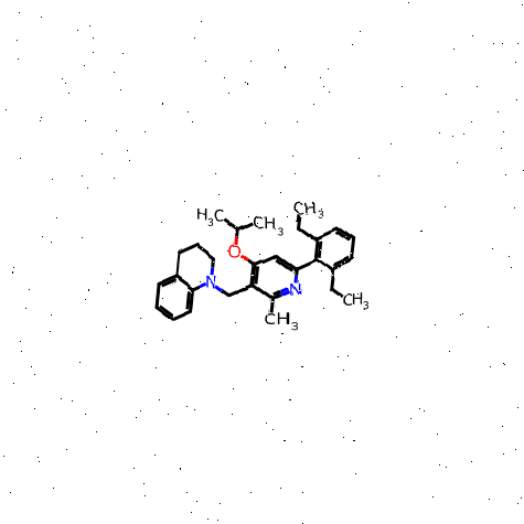 CCc1cccc(CC)c1-c1cc(OC(C)C)c(CN2CCCc3ccccc32)c(C)n1